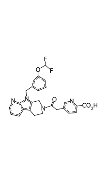 O=C(O)c1ccc(CC(=O)N2CCc3c(n(Cc4cccc(OC(F)F)c4)c4ncccc34)C2)cn1